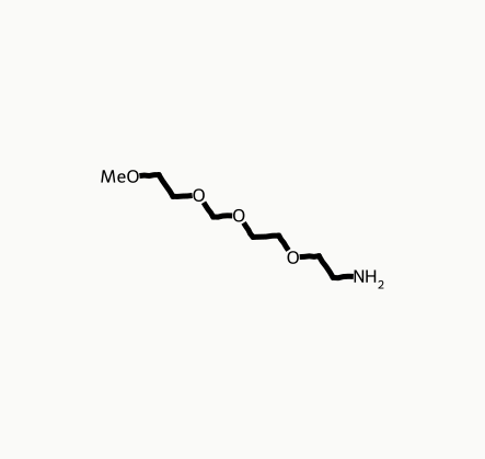 COCCOCOCCOCCN